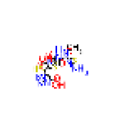 CON=C(C(=O)N[C@@H]1C(=O)N2C(C(=O)O)=C(C(S)c3cc(C(=O)O)nc4ncnn34)CS[C@H]12)c1csc(N)n1